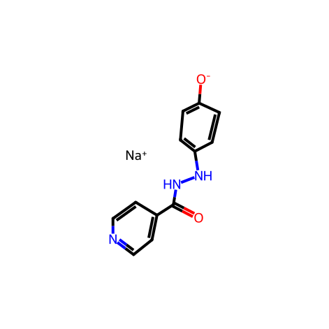 O=C(NNc1ccc([O-])cc1)c1ccncc1.[Na+]